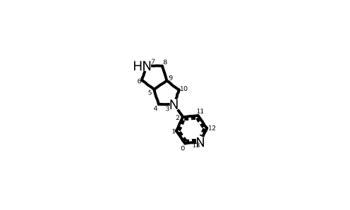 c1cc(N2CC3CNCC3C2)ccn1